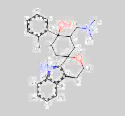 Cc1ccccc1C1(O)CCC2(CC1CN(C)C)OCCc1c2[nH]c2ccccc12